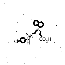 O=C(O)CCCN(CCCNC(=S)Nc1ccc(Cl)cc1)C1CCCc2ccccc21